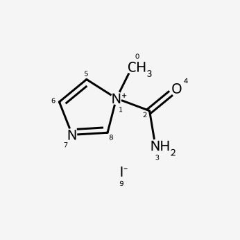 C[N+]1(C(N)=O)C=CN=C1.[I-]